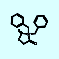 O=C1CSC(=S)[N+]1(Cc1ccccc1)Cc1ccccc1